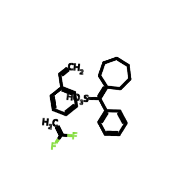 C=C(F)F.C=Cc1ccccc1.O=S(=O)(O)C(=C1CCCCCC1)c1ccccc1